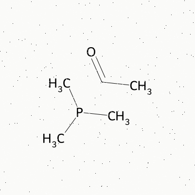 CC=O.CP(C)C